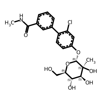 CNC(=O)c1cccc(-c2ccc(O[C@H]3O[C@H](CO)[C@@H](O)[C@H](O)[C@]3(C)O)cc2Cl)c1